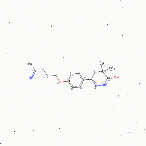 CC[C@@H](C)C(=N)CCCOc1ccc(C2=NNC(=O)C(C)(C)C2)cc1